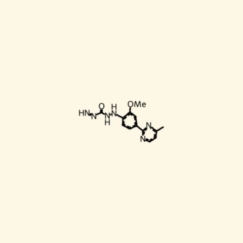 COc1cc(-c2nccc(C)n2)ccc1NNC(=O)N=N